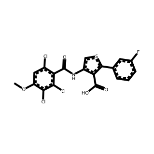 COc1cc(Cl)c(C(=O)Nc2csc(-c3cccc(F)c3)c2C(=O)O)c(Cl)c1Cl